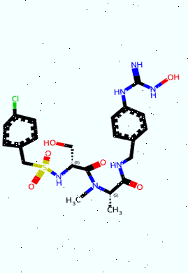 C[C@@H](C(=O)NCc1ccc(NC(=N)NO)cc1)N(C)C(=O)[C@@H](CO)NS(=O)(=O)Cc1ccc(Cl)cc1